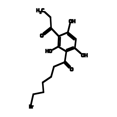 CCC(=O)c1c(O)cc(O)c(C(=O)CCCCCBr)c1O